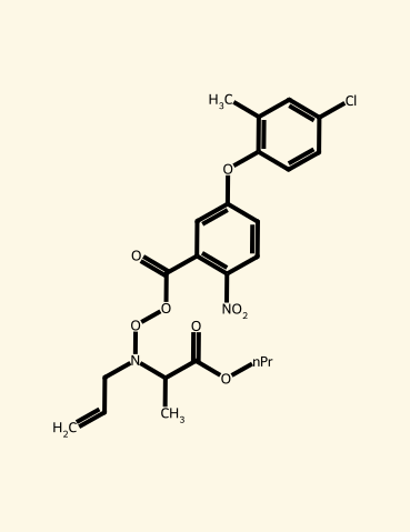 C=CCN(OOC(=O)c1cc(Oc2ccc(Cl)cc2C)ccc1[N+](=O)[O-])C(C)C(=O)OCCC